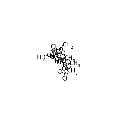 C=CCOC(=O)[C@@]1(C)C2CC[C@]3(C)[C@H](C(=O)C=C4[C@@H]5C[C@@](C)(C(=O)OC(c6ccccc6)c6ccccc6)CC[C@]5(C)CC[C@]43C)[C@@]2(C)CC[C@@H]1n1nc(C)cc1C(=O)OCC